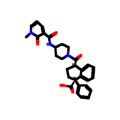 Cn1cccc(C(=O)NC2CCN(C(=O)[C@@H]3CC[C@](C(=O)O)(c4ccccc4)c4ccccc43)CC2)c1=O